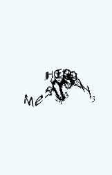 CCO.CSc1ccc(COS(C)(=O)=O)cc1